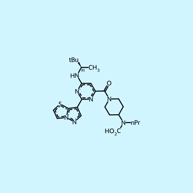 CCCN(C(=O)O)C1CCN(C(=O)c2cc(N[C@H](C)C(C)(C)C)nc(-c3cnn4ccsc34)n2)CC1